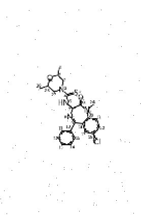 CC1CN(C(=S)NC2N=C(c3ccccc3)c3cc(Cl)ccc3N(C)C2=O)CC(C)O1